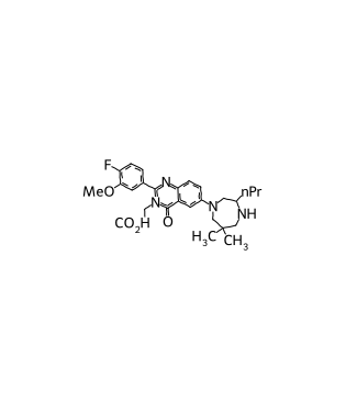 CCCC1CN(c2ccc3nc(-c4ccc(F)c(OC)c4)n(CC(=O)O)c(=O)c3c2)CC(C)(C)CN1